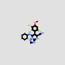 COc1cc(F)c(-c2c(C#N)nc3ncnn3c2NC2CCCCC2)cc1F